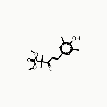 COP(=O)(OC)C(C)(C)C(=O)C=Cc1cc(C)c(O)c(C)c1